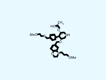 COCCCN1CCOc2ccc(CO[C@H]3CNC[C@@H](OC[C@@H](C)O)C3c3ccc(CSCCOC)cc3)cc21